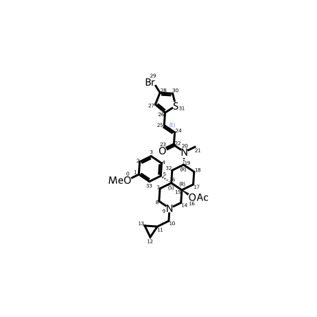 COc1cccc([C@@]23CCN(CC4CC4)C[C@@]2(OC(C)=O)CC[C@@H](N(C)C(=O)/C=C/c2cc(Br)cs2)C3)c1